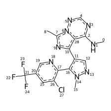 CNc1ncnn2c(C)nc(-c3cnn(C)c3-c3ncc(C(F)(F)F)cc3Cl)c12